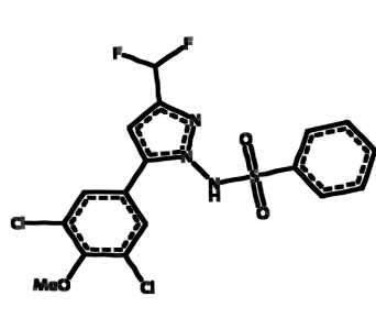 COc1c(Cl)cc(-c2cc(C(F)F)nn2NS(=O)(=O)c2ccccc2)cc1Cl